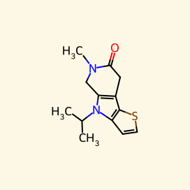 CC(C)n1c2c(c3sccc31)CC(=O)N(C)C2